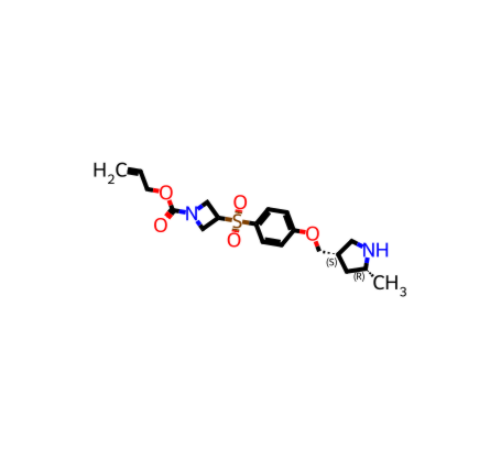 C=CCOC(=O)N1CC(S(=O)(=O)c2ccc(OC[C@@H]3CN[C@H](C)C3)cc2)C1